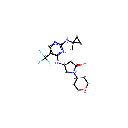 CC1(Nc2ncc(C(F)(F)F)c(NC3CC(=O)N(C4CCOCC4)C3)n2)CC1